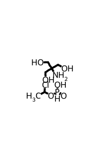 CC(Cl)O[PH](=O)O.NC(CO)(CO)CO